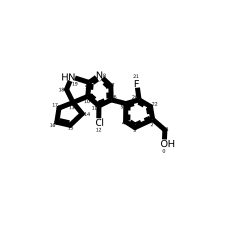 OCc1ccc(-c2cnc3c(c2Cl)C2(CC=CC2)CN3)c(F)c1